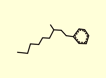 CCCCCC[C](C)CCc1ccccc1